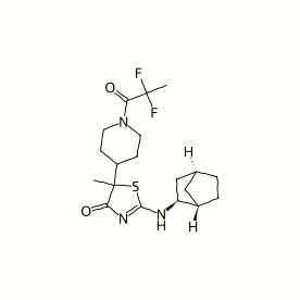 CC(F)(F)C(=O)N1CCC(C2(C)SC(N[C@H]3C[C@H]4CC[C@H]3C4)=NC2=O)CC1